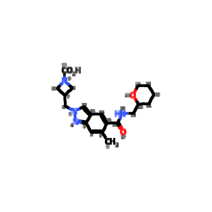 Cc1cc2nn(CC3CN(C(=O)O)C3)cc2cc1C(=O)NCC1CCCCO1